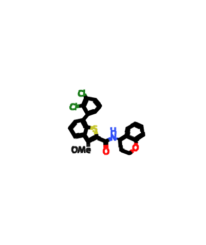 COc1c(C(=O)N[C@H]2CCOc3ccccc32)sc2c(-c3cccc(Cl)c3Cl)cccc12